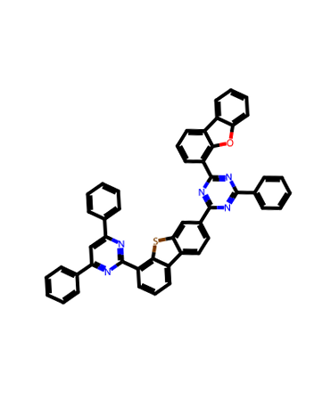 c1ccc(-c2cc(-c3ccccc3)nc(-c3cccc4c3sc3cc(-c5nc(-c6ccccc6)nc(-c6cccc7c6oc6ccccc67)n5)ccc34)n2)cc1